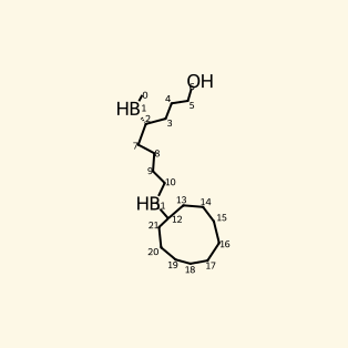 CB[C@H](CCCO)CCCCBC1CCCCCCCCC1